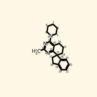 Cc1nc(N2CCCCC2)c2c(n1)C1(CCC2)CCc2ccccc21